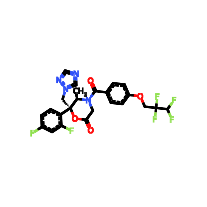 C[C@H]1N(C(=O)c2ccc(OCC(F)(F)C(F)F)cc2)CC(=O)O[C@@]1(Cn1cncn1)c1ccc(F)cc1F